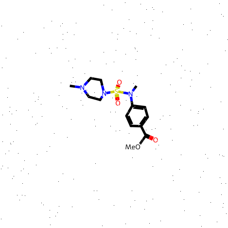 COC(=O)c1ccc(N(C)S(=O)(=O)N2CCN(C)CC2)cc1